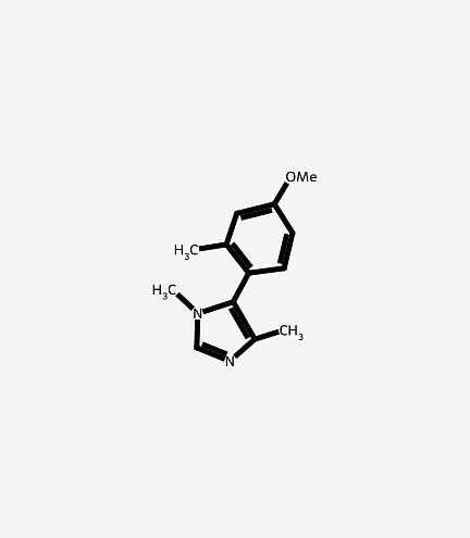 COc1ccc(-c2c(C)ncn2C)c(C)c1